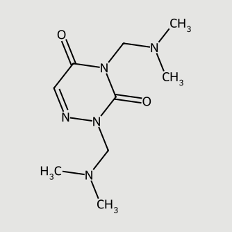 CN(C)Cn1ncc(=O)n(CN(C)C)c1=O